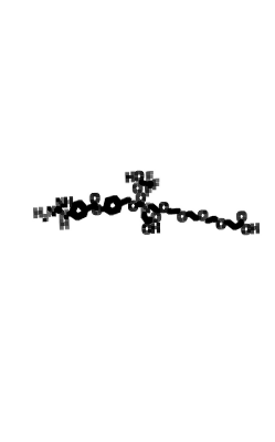 N=C(N)Nc1ccc(C(=O)Oc2ccc(COC(=O)N(CCOCCOCCOCCOCCC(=O)O)CC(=O)O)cc2)cc1.O=C(O)C(F)(F)F